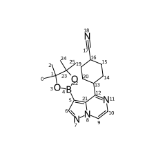 CC1(C)OB(c2cnn3ccnc(C4CCC(C#N)CC4)c23)OC1(C)C